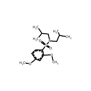 COc1ccc(S(=O)(=O)N(CC(C)C)CC(C)C)c(OC)c1